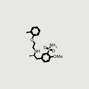 COc1ccc(C[C@@H](C)NCCOc2ccccc2C)cc1S(N)(=O)=O